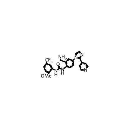 COc1ccc(C(F)(F)F)cc1NC(=O)Nc1ccc(-n2ccnc2-c2ccncc2)cc1CN